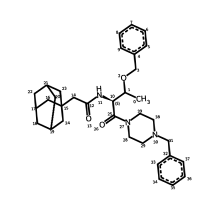 CC(OCc1ccccc1)[C@H](NC(=O)CC12CC3CC(CC(C3)C1)C2)C(=O)N1CCN(Cc2ccccc2)CC1